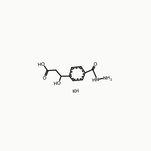 NNC(=O)c1ccc(C(O)CC(=O)O)cc1.[KH]